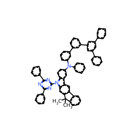 CC1(C)c2ccccc2-c2cc3c4cc(N(c5ccccc5)c5cccc(-c6cccc(-c7cc(-c8ccccc8)cc(-c8ccccc8)c7)c6)c5)ccc4n(-c4nc(-c5ccccc5)nc(-c5ccccc5)n4)c3cc21